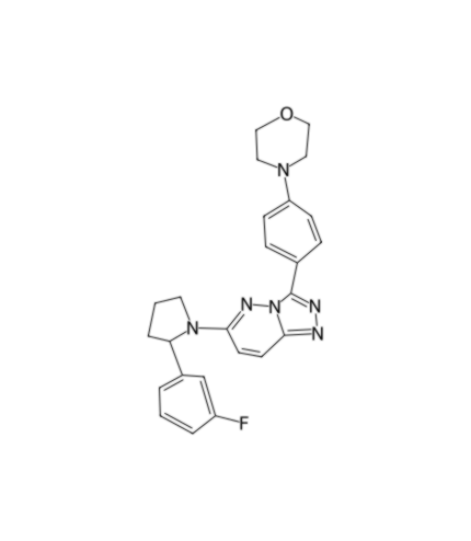 Fc1cccc(C2CCCN2c2ccc3nnc(-c4ccc(N5CCOCC5)cc4)n3n2)c1